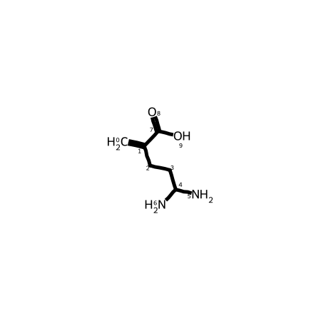 C=C(CCC(N)N)C(=O)O